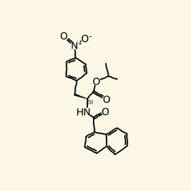 CC(C)OC(=O)[C@H](Cc1ccc([N+](=O)[O-])cc1)NC(=O)c1cccc2ccccc12